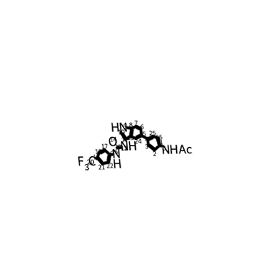 CC(=O)Nc1ccc(-c2ccc3[nH]cc(NC(=O)Nc4ccc(C(F)(F)F)cc4)c3c2)cc1